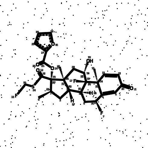 C[C@@H]1C[C@H]2[C@@H]3C[C@H](F)C4=CC(=O)C=C[C@]4(C)[C@@]3(F)[C@@H](O)C[C@]2(C)[C@]1(OC(=O)c1ccco1)C(=O)SCF